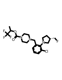 CC(OC(=O)N1CCN(Cc2cccc(Cl)c2N2CC[C@H](CF)C2)CC1)C(F)(F)F